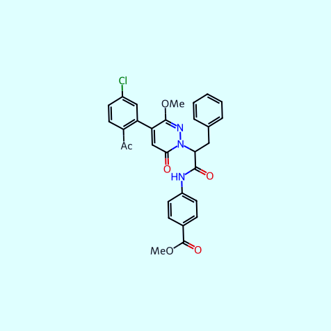 COC(=O)c1ccc(NC(=O)C(Cc2ccccc2)n2nc(OC)c(-c3cc(Cl)ccc3C(C)=O)cc2=O)cc1